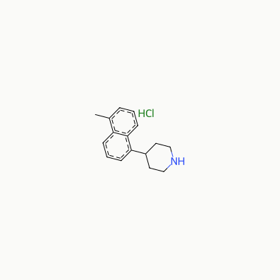 Cc1cccc2c(C3CCNCC3)cccc12.Cl